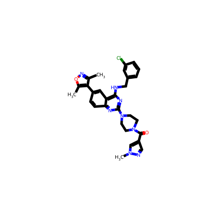 Cc1noc(C)c1-c1ccc2nc(N3CCN(C(=O)c4cnn(C)c4)CC3)nc(NCc3cccc(Cl)c3)c2c1